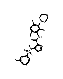 Cc1cc(C)c(N2CCOCC2)c(C)c1NC(=O)c1sccc1N(C)S(=O)(=O)c1cccc(F)c1